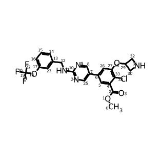 COC(=O)c1cc(-c2cnc(NCc3cccc(OC(F)(F)F)c3)nc2)cc(OC2CNC2)c1Cl